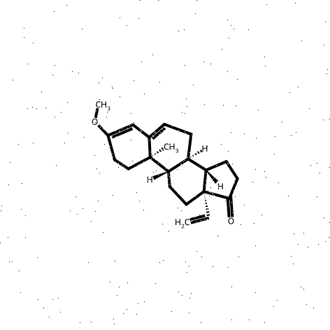 C=C[C@]12CC[C@H]3[C@@H](CC=C4C=C(OC)CC[C@@]43C)[C@@H]1CCC2=O